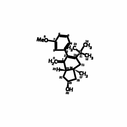 C=C1C(c2cccc(OC)c2)=C([Si](C)(C)C)C[C@@]2(C)C[C@@H](O)C[C@H]12